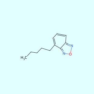 CCCCCc1cccc2nonc12